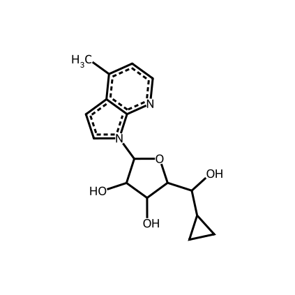 Cc1ccnc2c1ccn2C1OC(C(O)C2CC2)C(O)C1O